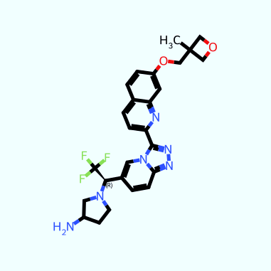 CC1(COc2ccc3ccc(-c4nnc5ccc([C@@H](N6CCC(N)C6)C(F)(F)F)cn45)nc3c2)COC1